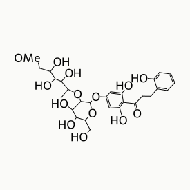 COCC(O)C(O)C(O)C(C)OC1C(Oc2cc(O)c(C(=O)CCc3ccccc3O)c(O)c2)OC(CO)C(O)C1O